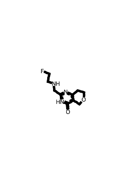 O=c1[nH]c(CNCCF)nc2c1COCC2